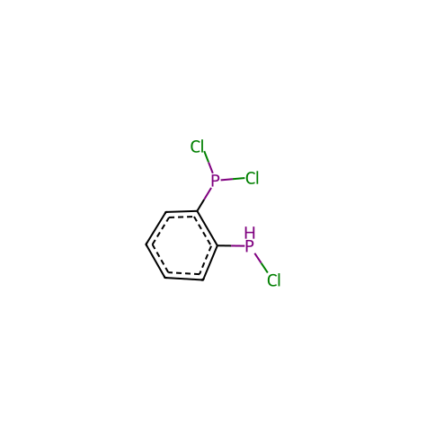 ClPc1ccccc1P(Cl)Cl